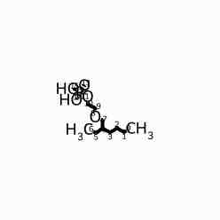 CCCCC(CC)COCCOP(=O)(O)O